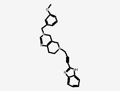 COc1cccc(CN2C=NC3=C(C2)CN(CC#Cc2nc4ccccc4[nH]2)CC3)c1